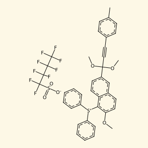 COc1ccc2cc(C(C#Cc3ccc(C)cc3)(OC)OC)ccc2c1[S+](c1ccccc1)c1ccccc1.O=S(=O)([O-])C(F)(F)C(F)(F)C(F)(F)C(F)(F)F